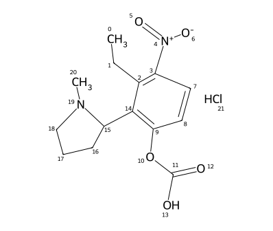 CCc1c([N+](=O)[O-])ccc(OC(=O)O)c1C1CCCN1C.Cl